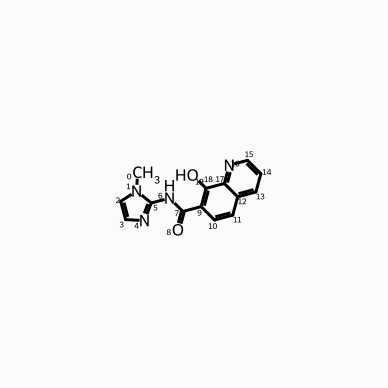 Cn1ccnc1NC(=O)c1ccc2cccnc2c1O